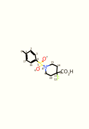 Cc1ccc(S(=O)(=O)N2CCC(F)(C(=O)O)CC2)cc1